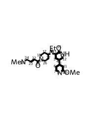 CCN(c1cc(-c2ccnc(OC)c2)c[nH]c1=O)C1CCN(C(=O)C=CCNC)CC1